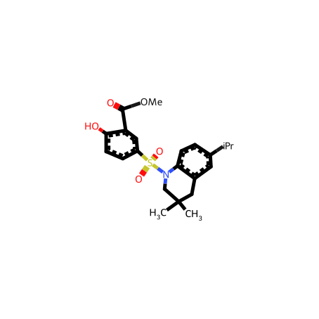 COC(=O)c1cc(S(=O)(=O)N2CC(C)(C)Cc3cc(C(C)C)ccc32)ccc1O